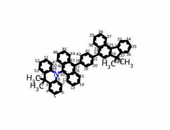 CC1(C)c2ccccc2N(c2c3ccccc3c(-c3ccc(-c4cc5c(c6ccccc46)-c4ccccc4C5(C)C)cc3)c3ccccc23)c2ccccc21